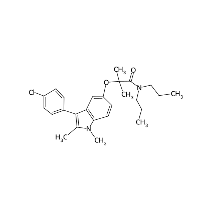 CCCN(CCC)C(=O)C(C)(C)Oc1ccc2c(c1)c(-c1ccc(Cl)cc1)c(C)n2C